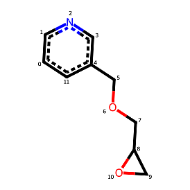 c1cncc(COCC2CO2)c1